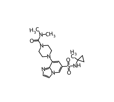 CN(C)C(=O)N1CCN(c2cc(S(=O)(=O)NC3(C)CC3)cn3ccnc23)CC1